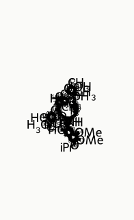 COc1c(OC(C)C)cc2cc(O)c(C(=O)NC3Cc4ccc(c(Cl)n4)O[C@H]4C=C5C(=C[C@@H]6OC56[C@@H]4O[C@H]4C[C@@](C)(O)[C@@H](O)[C@H](C)O4)C(O[C@H]4C[C@H](O)[C@H](N(C)C)[C@H](C)O4)CO[C@H]3O)cc2c1OC